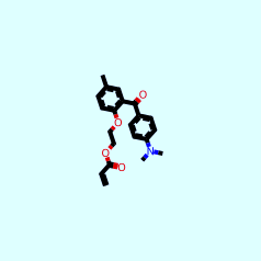 C=CC(=O)OCCOc1ccc(C)cc1C(=O)c1ccc(N(C)C)cc1